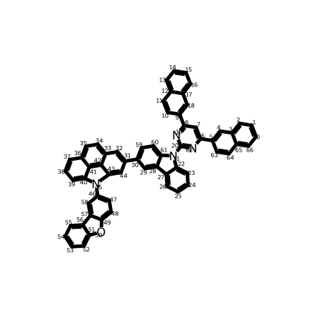 c1ccc2cc(-c3cc(-c4ccc5ccccc5c4)nc(-n4c5ccccc5c5cc(-c6cc7ccc8cccc9c8c7c(c6)n9-c6ccc7oc8ccccc8c7c6)ccc54)n3)ccc2c1